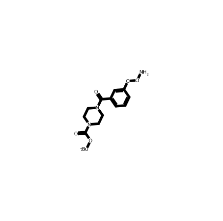 CC(C)(C)OC(=O)N1CCN(C(=O)c2cccc(OON)c2)CC1